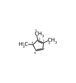 CC1=C(C)C(C)C=C1